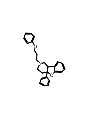 c1ccc(OCCCN2CCC3(c4ccccc4)Oc4ccccc4C3C2)cc1